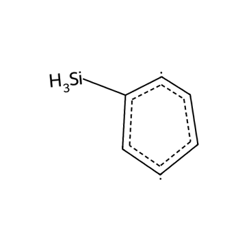 [SiH3]c1[c]cc[c]c1